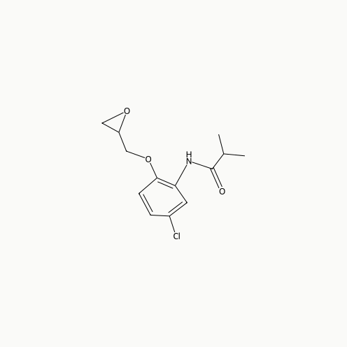 CC(C)C(=O)Nc1cc(Cl)ccc1OCC1CO1